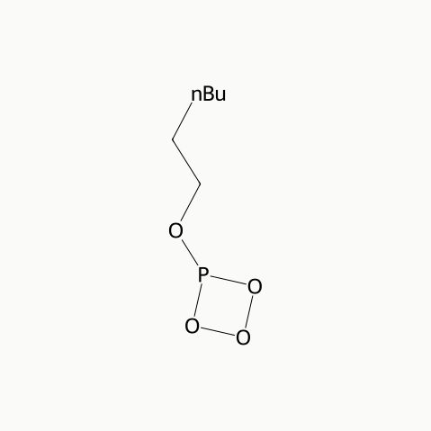 CCCCCCOP1OOO1